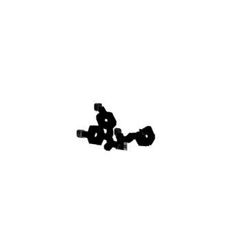 CC(NC(=O)CCC1CC2CCN1C2)C(Cc1ccc(Cl)cc1)c1ccc(Cl)cc1